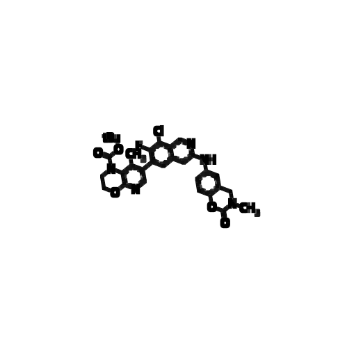 Cc1c(-c2cc3cc(Nc4ccc5c(c4)CN(C)C(=O)O5)ncc3c(Cl)c2F)cnc2c1N(C(=O)OC(C)(C)C)CCO2